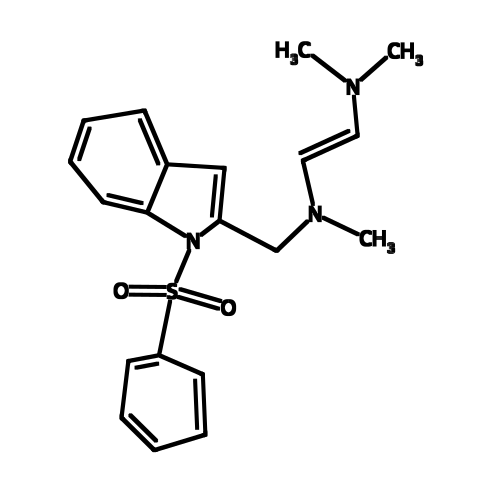 CN(C)C=CN(C)Cc1cc2ccccc2n1S(=O)(=O)c1ccccc1